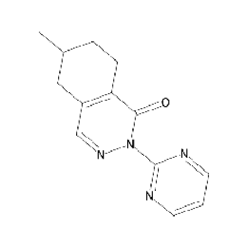 CC1CCc2c(cnn(-c3ncccn3)c2=O)C1